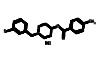 Cc1ccc(C(=O)OC2CCN(Cc3cccc(Br)c3)CC2)cc1.Cl